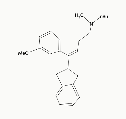 CCCCN(C)CCC=C(c1cccc(OC)c1)C1Cc2ccccc2C1